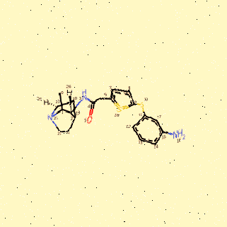 C[C@H]1[C@H](NC(=O)c2ccc(Sc3cccc(N)c3)s2)C2CCN1CC2